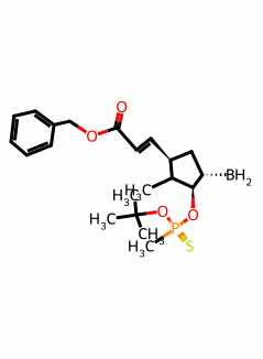 B[C@H]1C[C@H](/C=C/C(=O)OCc2ccccc2)C(C)[C@@H]1OP(C)(=S)OC(C)(C)C